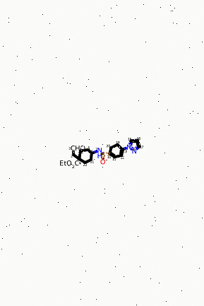 CCOC(=O)C1(CC=O)CCC(N[S+]([O-])C2=CC=C(n3cccn3)CC2)CC1